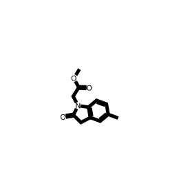 COC(=O)CN1C(=O)Cc2cc(C)ccc21